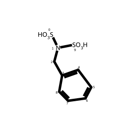 O=S(=O)(O)N(Cc1ccccc1)S(=O)(=O)O